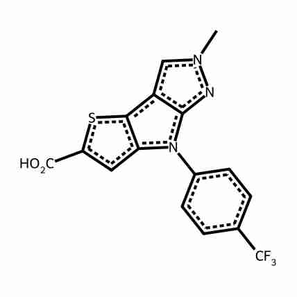 Cn1cc2c3sc(C(=O)O)cc3n(-c3ccc(C(F)(F)F)cc3)c2n1